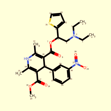 CCN(CC)CC(OC(=O)C1=C(C)NC(C)=C(C(=O)OC)C1c1cccc([N+](=O)[O-])c1)c1cccs1